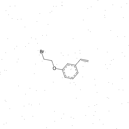 C=Cc1cccc(OCCBr)c1